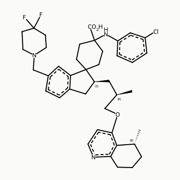 C[C@@H](COc1ccnc2c1[C@H](C)CCC2)C[C@H]1Cc2ccc(CN3CCC(F)(F)CC3)cc2C12CCC(Nc1cccc(Cl)c1)(C(=O)O)CC2